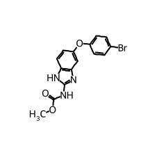 COC(=O)Nc1nc2cc(Oc3ccc(Br)cc3)ccc2[nH]1